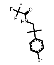 CC(C)(CNC(=O)C(F)(F)F)c1ccc(Br)cc1